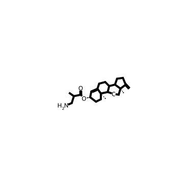 C=C1CCC2C3CCC4=C[C@@H](OC(=O)C(C)CN)CC[C@]4(C)C3CC[C@]12C